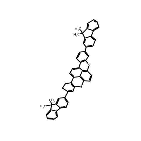 CC1(C)c2ccccc2-c2ccc(C3=CC4=C(CC3)c3ccc5c6c(ccc(c36)S4)Sc3cc(-c4ccc6c(c4)C(C)(C)c4ccccc4-6)ccc3-5)cc21